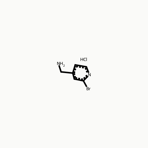 Cl.NCc1ccnc(Br)c1